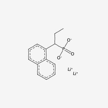 CCC(c1cccc2ccccc12)P(=O)([O-])[O-].[Li+].[Li+]